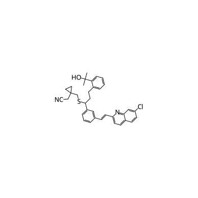 CC(C)(O)c1ccccc1CCC(SCC1(CC#N)CC1)c1cccc(/C=C/c2ccc3ccc(Cl)cc3n2)c1